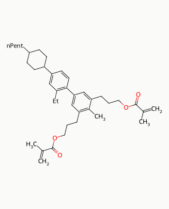 C=C(C)C(=O)OCCCc1cc(-c2ccc(C3CCC(CCCCC)CC3)cc2CC)cc(CCCOC(=O)C(=C)C)c1C